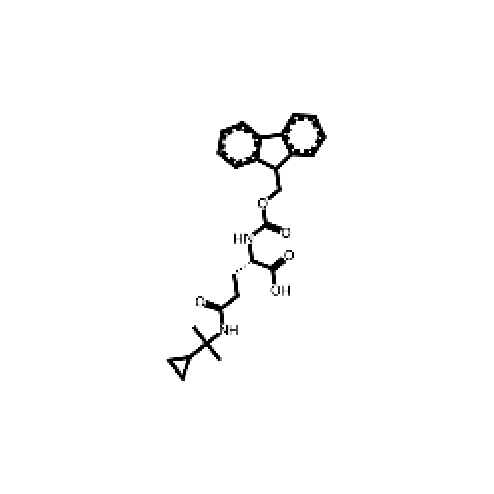 CC(C)(NC(=O)CC[C@H](NC(=O)OCC1c2ccccc2-c2ccccc21)C(=O)O)C1CC1